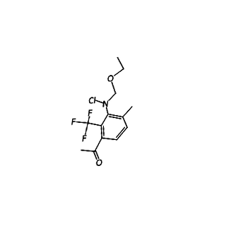 CCOCN(Cl)c1c(C)ccc(C(C)=O)c1C(F)(F)F